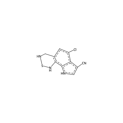 N#Cc1c[nH]c2c3c(cc(Cl)c12)CNSN3